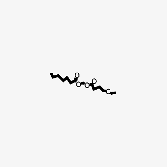 CCCCCCC(=O)OCOC(=O)CCCCCC